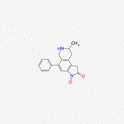 CC1Cc2c(c(-c3ccccc3)cc3c2CC(=O)[N+]3=O)CN1